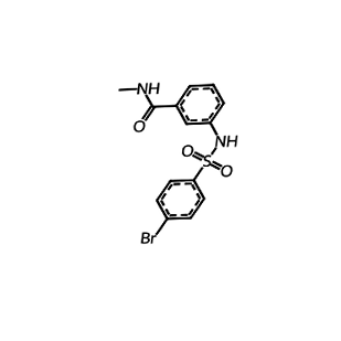 CNC(=O)c1cccc(NS(=O)(=O)c2ccc(Br)cc2)c1